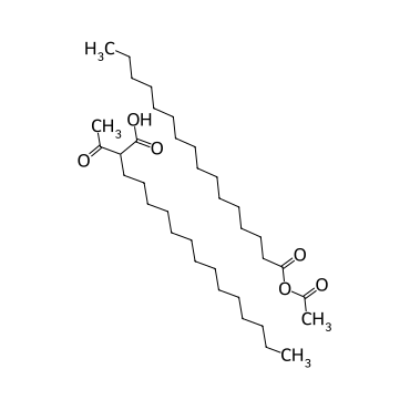 CCCCCCCCCCCCCCC(C(C)=O)C(=O)O.CCCCCCCCCCCCCCCC(=O)OC(C)=O